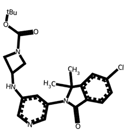 CC(C)(C)OC(=O)N1CC(Nc2cncc(N3C(=O)c4ccc(Cl)cc4C3(C)C)c2)C1